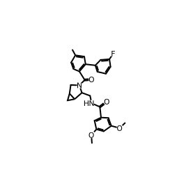 COc1cc(OC)cc(C(=O)NCC2C3CC3CN2C(=O)c2ccc(C)cc2-c2cccc(F)c2)c1